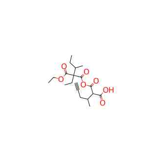 C#CCC(C)C(C(=O)O)C(=O)OC(=O)C(CC)(C(=O)OCC)C(C)CC